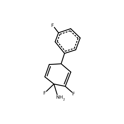 NC1(F)C=CC(c2cccc(F)c2)C=C1F